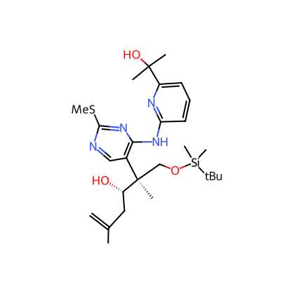 C=C(C)C[C@H](O)[C@](C)(CO[Si](C)(C)C(C)(C)C)c1cnc(SC)nc1Nc1cccc(C(C)(C)O)n1